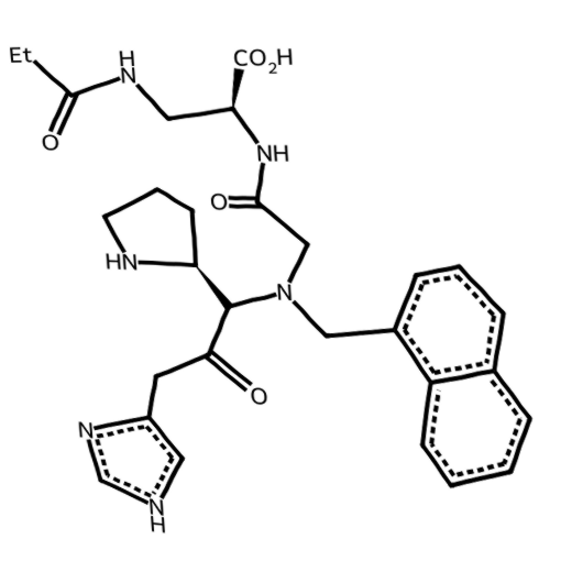 CCC(=O)NC[C@H](NC(=O)CN(Cc1cccc2ccccc12)C(C(=O)Cc1c[nH]cn1)[C@@H]1CCCN1)C(=O)O